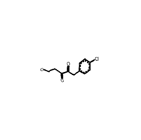 O=C(CCCl)C(=O)Cc1ccc(Cl)cc1